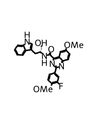 COc1ccc2nc(-c3ccc(OC)c(F)c3)nc(C(=O)N[C@@H](CO)Cc3c[nH]c4ccccc34)c2c1